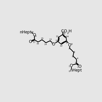 CCCCCCCOC(=O)CCCCOc1cc(OCCCCC(=O)OCCCCCCC)cc(C(=O)O)c1